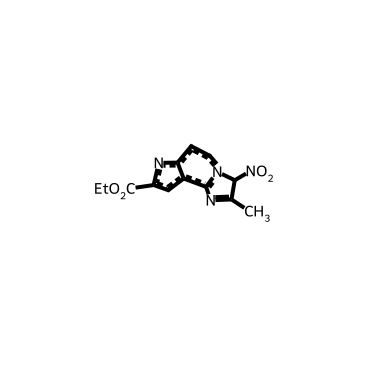 CCOC(=O)c1cc2c3n(ccc-2n1)C([N+](=O)[O-])C(C)=N3